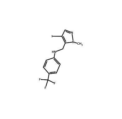 Cn1ncc(I)c1CNc1ccc(C(F)(F)F)cc1